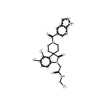 O=C(CN1C(=O)C2(CCN(C(=O)c3cnc4[nH]ncc4c3)CC2)c2c1ccc(Cl)c2Cl)NCC(F)(F)F